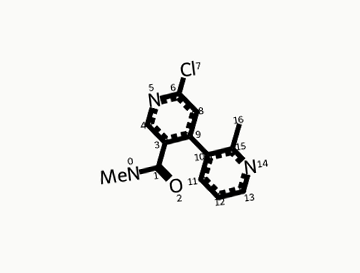 CNC(=O)c1cnc(Cl)cc1-c1cccnc1C